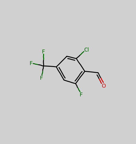 O=Cc1c(F)cc(C(F)(F)F)cc1Cl